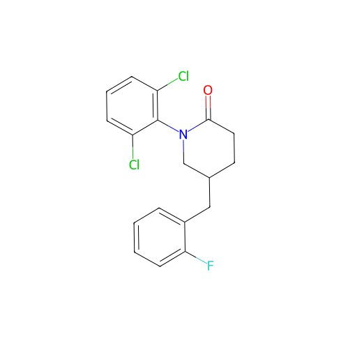 O=C1CCC(Cc2ccccc2F)CN1c1c(Cl)cccc1Cl